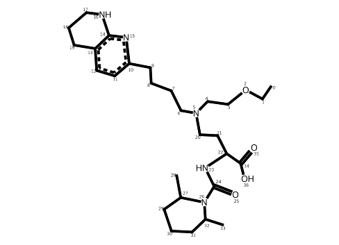 CCOCCN(CCCCc1ccc2c(n1)NCCC2)CCC(NC(=O)N1C(C)CCCC1C)C(=O)O